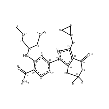 COCC(COC)Nc1nc(-n2nc(CC3CC3)c3c2CC(C)(C)CC3=O)ncc1C(N)=O